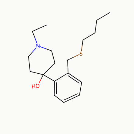 CCCCSCc1ccccc1C1(O)CCN(CC)CC1